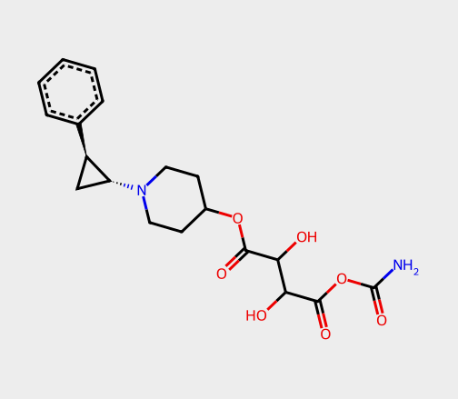 NC(=O)OC(=O)C(O)C(O)C(=O)OC1CCN([C@@H]2C[C@H]2c2ccccc2)CC1